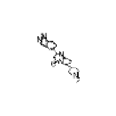 CCN1CCC(c2ccc3nc(-c4ccc5c(cnn5C)c4)cc(=O)n3c2)CC1